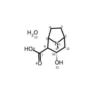 CN1C2CCC1C(C(=O)O)[C@@H](O)C2.O